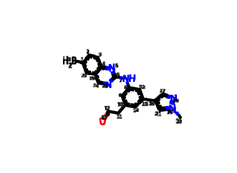 Bc1ccc2nc(Nc3cc(CC=O)cc(-c4cnn(C)c4)c3)ncc2c1